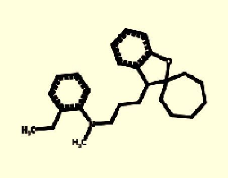 CCc1ccccc1N(C)CCCC1c2ccccc2OC12CCCCCC2